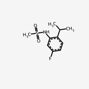 CC(C)c1ccc(F)cc1NS(C)(=O)=O